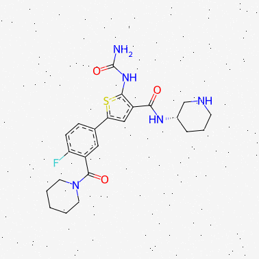 NC(=O)Nc1sc(-c2ccc(F)c(C(=O)N3CCCCC3)c2)cc1C(=O)N[C@H]1CCCNC1